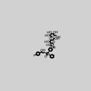 O=C1[C@H](CC[C@H](O)c2ccc(F)cc2)[C@@H](c2ccc(S(=O)(=O)C[C@@H]3OC(CO)[C@@H](O[C@@H]4OC(CO)[C@@H](O)C(O)[C@@H]4O)C(O)[C@@H]3O)cc2)N1c1ccccc1